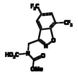 COC(=O)N(Cc1noc2c(C(F)(F)F)cc(C(F)(F)F)cc12)C(=O)O